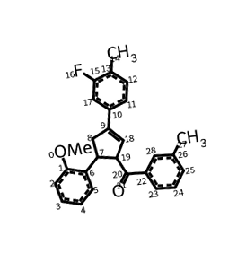 COc1ccccc1C1CC(c2ccc(C)c(F)c2)=CC1C(=O)c1cccc(C)c1